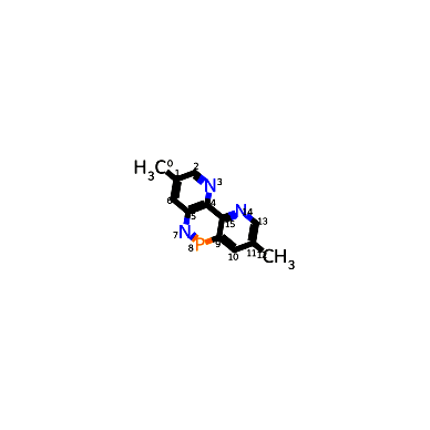 Cc1cnc2c(c1)npc1cc(C)cnc12